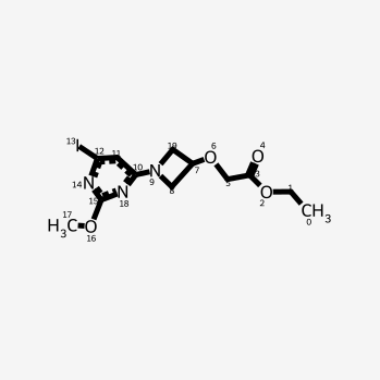 CCOC(=O)COC1CN(c2cc(I)nc(OC)n2)C1